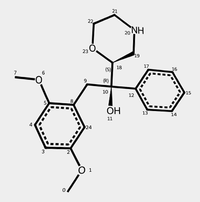 COc1ccc(OC)c(C[C@@](O)(c2ccccc2)[C@@H]2CNCCO2)c1